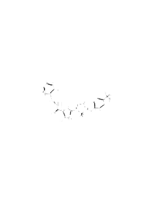 Cc1nc(N2CCN(Cc3ccc(C(F)(F)F)cc3)C2=O)sc1C(=O)NCc1ccccn1